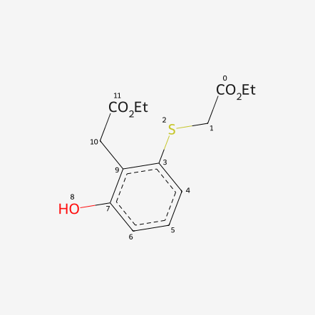 CCOC(=O)CSc1cccc(O)c1CC(=O)OCC